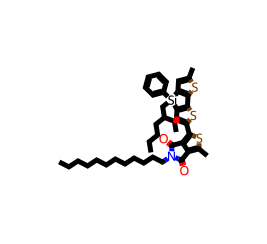 CCCCCCCCCCCCN1C(=O)c2c(C)sc(-c3cc4c(s3)-c3sc(C)cc3[Si]4(CC(CC)CCCC)c3ccccc3)c2C1=O